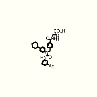 CC(=O)c1cccc(NC(=O)N(Cc2ccc(C(=O)NC[C@@H](O)C(=O)O)cc2)c2ccc(C3CCCCC3)cc2)c1